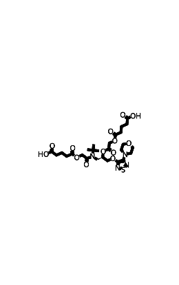 CC(C)(C)N(C[C@@H](COc1nsnc1N1CCOCC1)OC(=O)COC(=O)CCCC(=O)O)C(=O)COC(=O)CCCC(=O)O